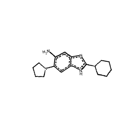 Nc1cc2nc(C3CCCCC3)[nH]c2cc1N1CCCC1